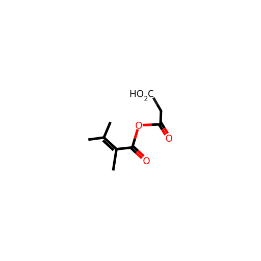 CC(C)=C(C)C(=O)OC(=O)CC(=O)O